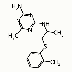 Cc1nc(N)nc(NC(C)CSc2ccccc2C)n1